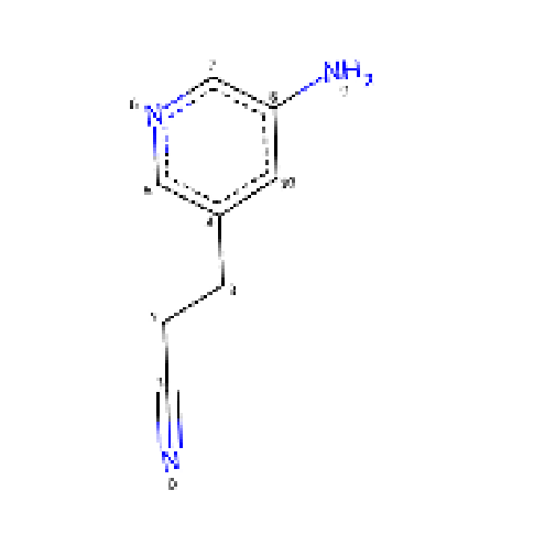 N#CCCc1cncc(N)c1